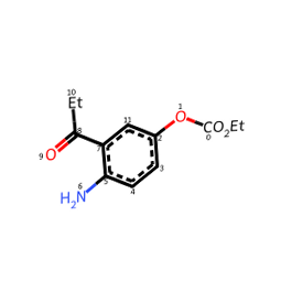 CCOC(=O)Oc1ccc(N)c(C(=O)CC)c1